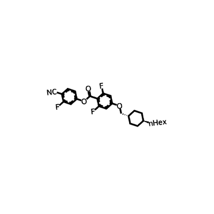 CCCCCC[C@H]1CC[C@H](COc2cc(F)c(C(=O)Oc3ccc(C#N)c(F)c3)c(F)c2)CC1